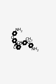 CCC(C)(c1ccc(Oc2ccc(N)cc2)cc1)c1ccccc1Oc1ccc(Oc2ccc(N)cc2)c(C)c1